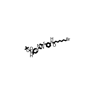 CC1(NC(=O)OC(C)(C)C)C=CN(c2cnc(Sc3cccc(NC(=O)CCCCCCBr)c3)cn2)C=C1